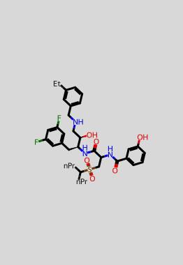 CCCC(CCC)S(=O)(=O)CC(NC(=O)c1cccc(O)c1)C(=O)N[C@@H](Cc1cc(F)cc(F)c1)[C@H](O)CNCc1cccc(CC)c1